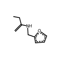 C=C(CC)NCc1ccco1